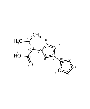 CC(C)[C@@H](C(=O)O)n1cc(-c2ccco2)nn1